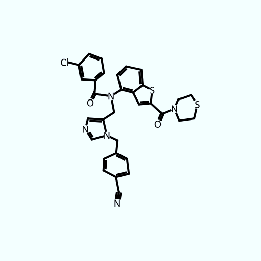 N#Cc1ccc(Cn2cncc2CN(C(=O)c2cccc(Cl)c2)c2cccc3sc(C(=O)N4CCSCC4)cc23)cc1